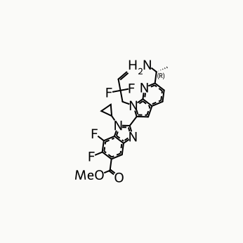 C=CC(F)(F)Cn1c(-c2nc3cc(C(=O)OC)c(F)c(F)c3n2C2CC2)cc2ccc([C@@H](C)N)nc21